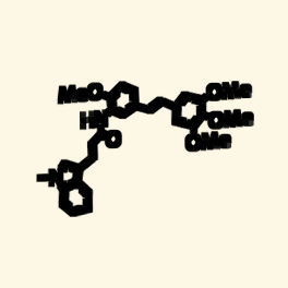 COc1ccc(/C=C/c2cc(OC)c(OC)c(OC)c2)cc1NC(=O)/C=C/c1cn(C)c2ccccc12